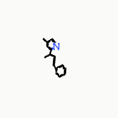 Cc1ccnc(C(C)C=Cc2ccccc2)c1